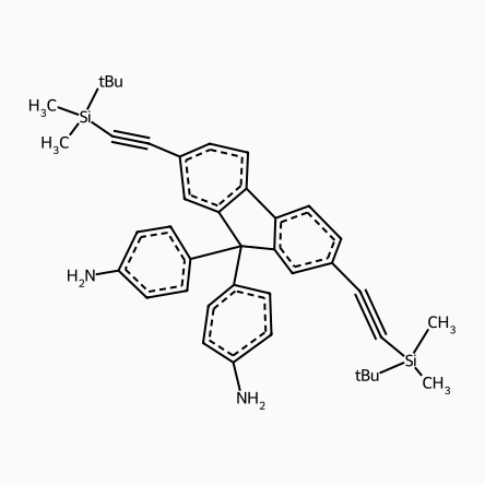 CC(C)(C)[Si](C)(C)C#Cc1ccc2c(c1)C(c1ccc(N)cc1)(c1ccc(N)cc1)c1cc(C#C[Si](C)(C)C(C)(C)C)ccc1-2